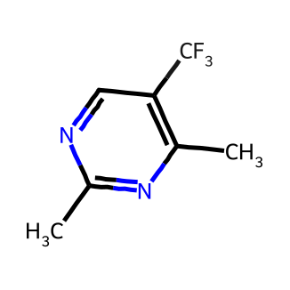 Cc1ncc(C(F)(F)F)c(C)n1